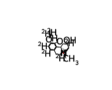 [2H]c1c([2H])c(OC([2H])([2H])[2H])c2c3c1C[C@]1([2H])[C@@H]4C=CC([2H])(O)C(O2)[C@]34CCN1C